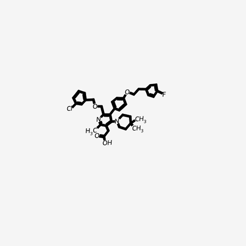 Cc1nc(COCc2cccc(Cl)c2)c(-c2ccc(OCCc3ccc(F)cc3)cc2)c(N2CCC(C)(C)CC2)c1CC(=O)O